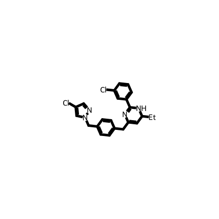 CCC1C=C(Cc2ccc(Cn3cc(Cl)cn3)cc2)N=C(c2cccc(Cl)c2)N1